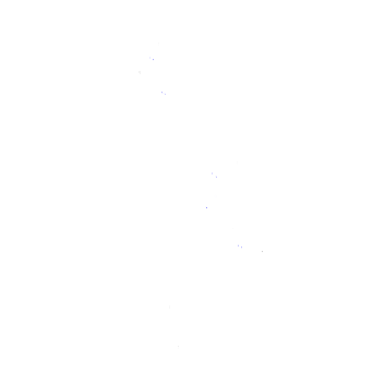 CCC(C)Oc1cc2c(cc1O)CC(=O)N(c1ccc(N(C)CC3CCC(N4CCN(C)C(=O)C4)CC3)nc1)[C@H]2c1ccc(Cl)cc1